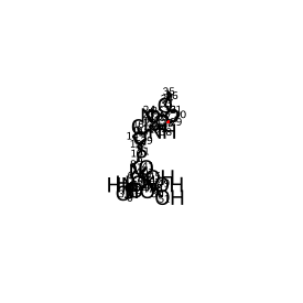 CS(=O)(=O)NCCN(CCCSc1ccc(Cl)c(CNC2(c3cnccc3-c3ccccc3OC3CC3)CC2)c1)C(=O)[C@@H](O)[C@@H](O)[C@H](O)[C@@H](O)CO